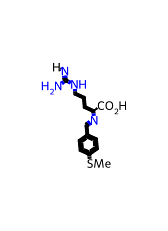 [H]/N=C(\N)NCCC[C@H](N=Cc1ccc(SC)cc1)C(=O)O